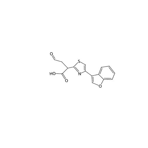 O=CCC(C(=O)O)c1nc(-c2coc3ccccc23)cs1